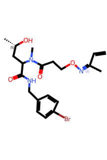 C=C/C(C)=N\OCCC(=O)N(C)C(C[C@H](C)O)C(=O)NCc1ccc(Br)cc1